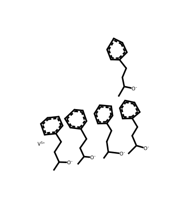 CC([O-])CCc1ccccc1.CC([O-])CCc1ccccc1.CC([O-])CCc1ccccc1.CC([O-])CCc1ccccc1.CC([O-])CCc1ccccc1.[V+5]